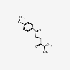 COc1ccc(C(=O)CCC(=O)C(C)C)cc1